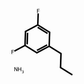 CCCc1cc(F)cc(F)c1.N